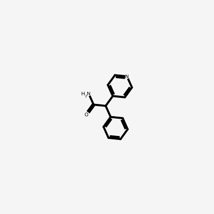 NC(=O)C(c1ccccc1)c1ccncc1